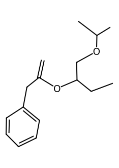 C=C(Cc1ccccc1)OC(CC)COC(C)C